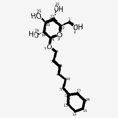 OC[C@H]1OC(OCCCCCCC2CCCCC2)[C@H](O)[C@@H](O)[C@@H]1O